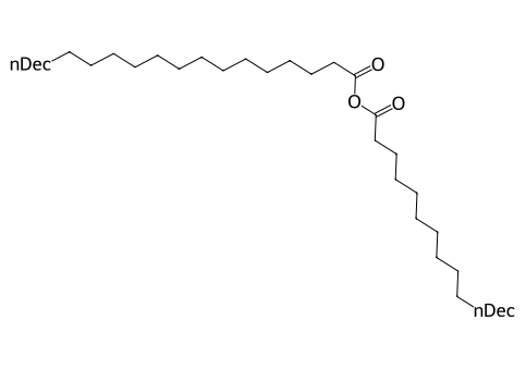 CCCCCCCCCCCCCCCCCCCCCCCC(=O)OC(=O)CCCCCCCCCCCCCCCCCCC